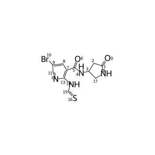 O=C1CC(NC(=O)c2cc(Br)cnc2NC=S)CN1